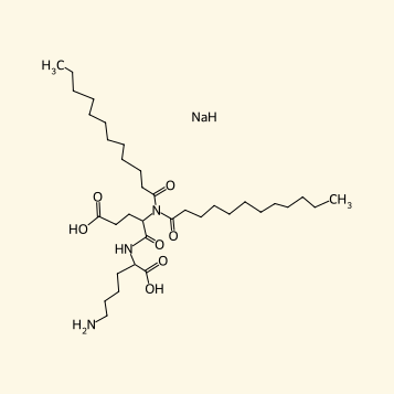 CCCCCCCCCCCC(=O)N(C(=O)CCCCCCCCCCC)C(CCC(=O)O)C(=O)NC(CCCCN)C(=O)O.[NaH]